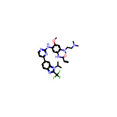 C=CC(=O)Nc1cc(Nc2nccc(-c3ccc4nc(C(F)(F)F)n(C(C)C)c4c3)n2)c(OC)cc1N(C)CCN(C)C